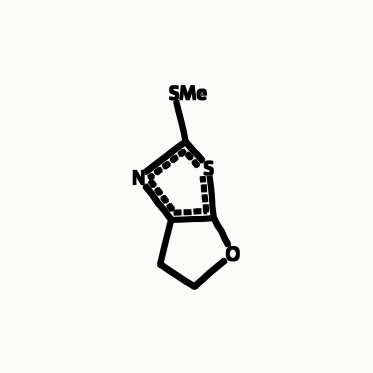 CSc1nc2c(s1)OCC2